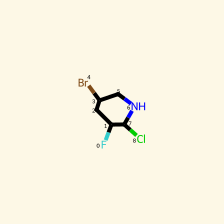 FC1CC(Br)CNC1Cl